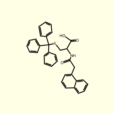 O=C(Cc1cccc2ccccc12)NC(CSC(c1ccccc1)(c1ccccc1)c1ccccc1)C(=O)O